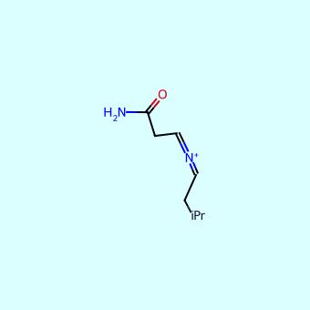 CC(C)CC=[N+]=CCC(N)=O